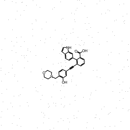 O=C(O)c1cccc(C#Cc2ccc(CN3CCOCC3)c(O)c2)c1-c1ccc2cc[nH]c2c1